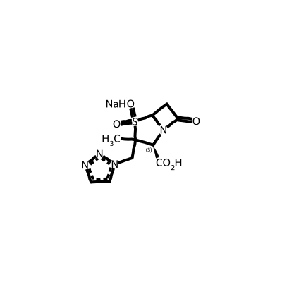 CC1(Cn2ccnn2)[C@H](C(=O)O)N2C(=O)CC2S1(=O)=O.[NaH]